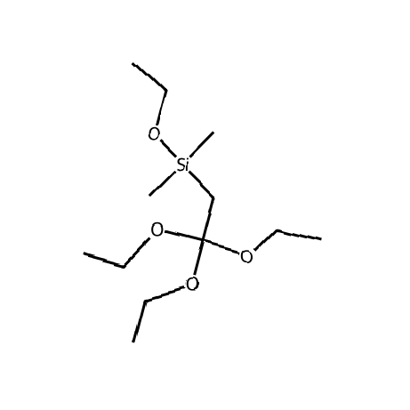 CCOC(C[Si](C)(C)OCC)(OCC)OCC